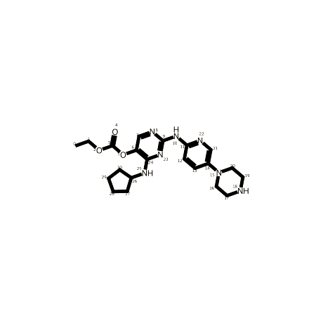 CCOC(=O)Oc1cnc(Nc2ccc(N3CCNCC3)cn2)nc1NC1CCCC1